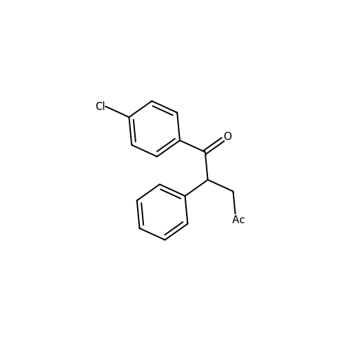 CC(=O)CC(C(=O)c1ccc(Cl)cc1)c1ccccc1